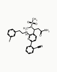 CN(C(CC(N)=O)c1ccc(-c2ccccc2C#N)nc1NCCc1cccc(F)c1)S(C)(=O)=O